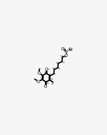 COC1=C(OC)C(=O)C(CCCCCCO[N+](=O)[O-])=C(C)C1=O